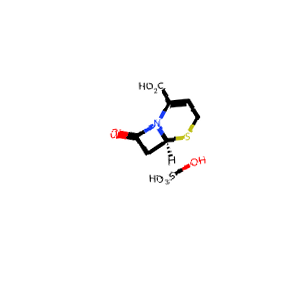 O=C(O)C1=CCS[C@H]2CC(=O)N12.O=S(=O)(O)O